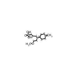 COCCN(CCCP(=O)(O)O)C1CCN(C)CC1